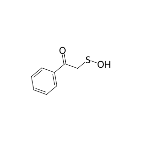 O=C(CSO)c1ccccc1